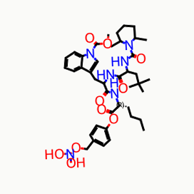 CCCC[C@@H](NC(=O)C(Cc1cn(C(=O)OC)c2ccccc12)NC(=O)C(CC(C)(C)C)NC(=O)N1C(C)CCCC1C)C(=O)Oc1ccc(CON(O)O)cc1